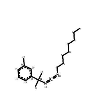 CCCCCCCCN=C=NC(C)(C)c1cccc(C)c1